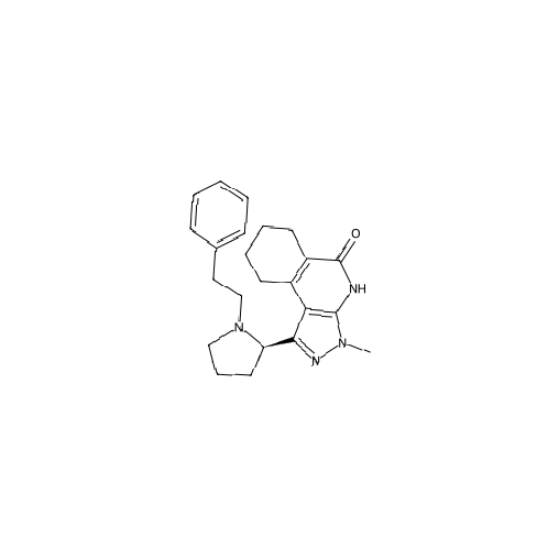 Cn1nc([C@H]2CCCN2CCc2ccccc2)c2c3c(c(=O)[nH]c21)CCCC3